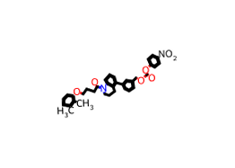 Cc1cccc(OCCCC(=O)N2CCCc3c(-c4cccc(COC(=O)Oc5ccc([N+](=O)[O-])cc5)c4)cccc32)c1C